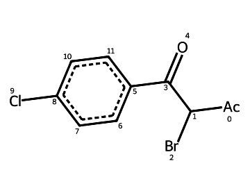 CC(=O)C(Br)C(=O)c1ccc(Cl)cc1